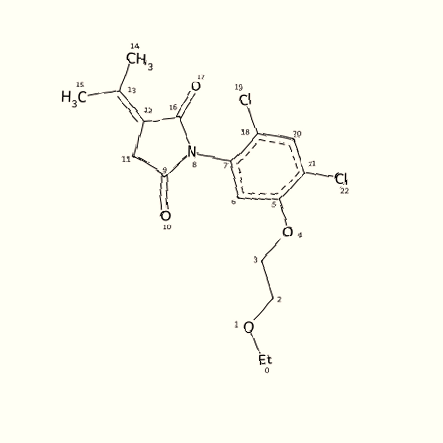 CCOCCOc1cc(N2C(=O)CC(=C(C)C)C2=O)c(Cl)cc1Cl